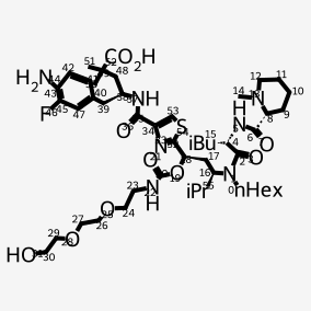 CCCCCCN(C(=O)[C@@H](NC(=O)[C@H]1CCCCN1C)[C@@H](C)CC)[C@H](C[C@@H](OC(=O)NCCOCCOCCO)c1nc(C(=O)N[C@@H](Cc2ccc(N)c(F)c2)CC(C)(C)C(=O)O)cs1)C(C)C